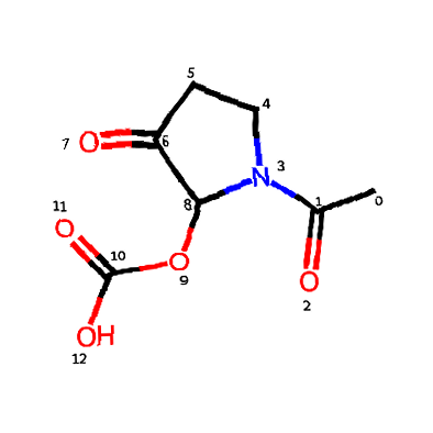 CC(=O)N1CCC(=O)C1OC(=O)O